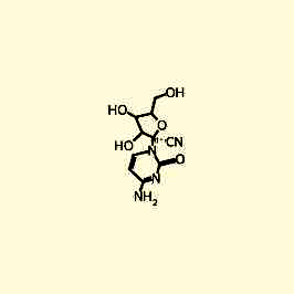 N#C[C@@]1(n2ccc(N)nc2=O)OC(CO)C(O)C1O